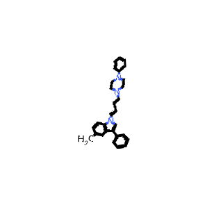 Cc1ccc2c(c1)c(-c1ccccc1)cn2CCCCN1CCN(c2ccccc2)CC1